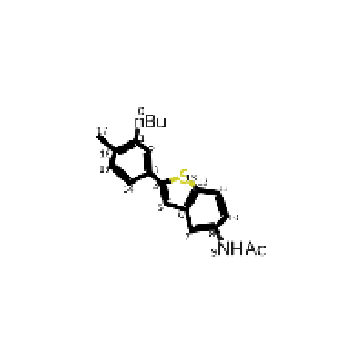 CCCCc1cc(-c2cc3cc(NC(C)=O)ccc3s2)ccc1C